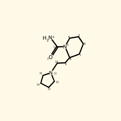 NC(=O)N1CCCCC1CCN1CCCC1